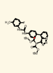 Cc1ccc(F)c(NC(=O)Nc2ccc(-c3cccn4nnc(N(C(=O)OC(C)(C)C)C(=O)OC(C)(C)C)c34)cc2)c1